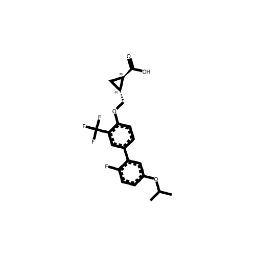 CC(C)Oc1ccc(F)c(-c2ccc(OC[C@@H]3C[C@H]3C(=O)O)c(C(F)(F)F)c2)c1